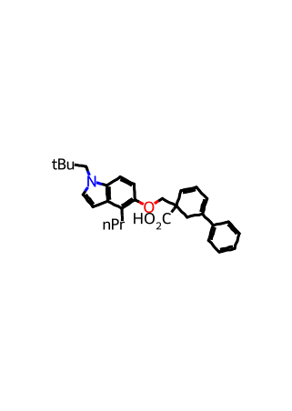 CCCc1c(OCC2(C(=O)O)C=CC=C(c3ccccc3)C2)ccc2c1ccn2CC(C)(C)C